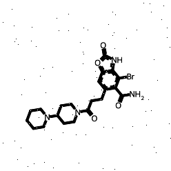 NC(=O)c1c(C[CH]C(=O)N2CCC(N3CCCCC3)CC2)cc2oc(=O)[nH]c2c1Br